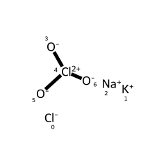 [Cl-].[K+].[Na+].[O-][Cl+2]([O-])[O-]